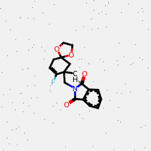 CC1(CN2C(=O)c3ccccc3C2=O)CC2(CC=C1F)OCCO2